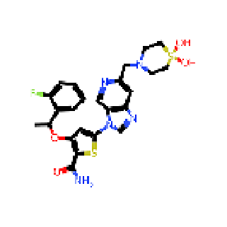 CC(Oc1cc(-n2cnc3cc(CN4CCS(O)(O)CC4)ncc32)sc1C(N)=O)c1ccccc1F